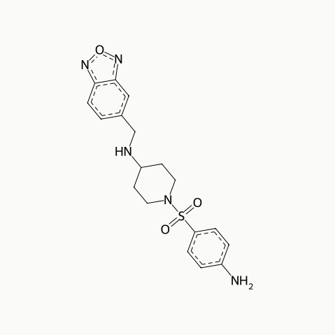 Nc1ccc(S(=O)(=O)N2CCC(NCc3ccc4nonc4c3)CC2)cc1